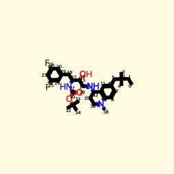 CCC(C)(C)Cc1ccc2c(c1)C(NCC(O)C(Cc1cc(F)cc(F)c1)NC(=O)OC(C)(C)C)CCN2C